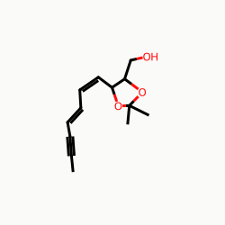 CC#C/C=C/C=C\C1OC(C)(C)OC1CO